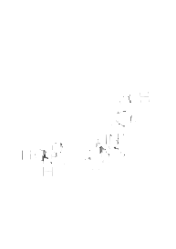 COc1ccc(CNC(=S)N2CCC(CCCC(=O)NO)CC2)cc1